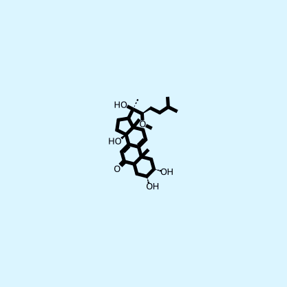 CO[C@H](CCC(C)C)[C@](C)(O)C1CC[C@@]2(O)C3=CC(=O)C4C[C@@H](O)[C@@H](O)CC4(C)C3=CCC12C